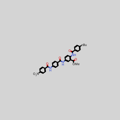 CCCCc1ccc(C(=O)Nc2ccc(NC(=O)c3ccc(NC(=O)c4ccc([N+](=O)[O-])cc4)cc3)cc2C(=O)OC)cc1